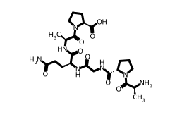 C[C@H](N)C(=O)N1CCC[C@H]1C(=O)NCC(=O)N[C@@H](CCC(N)=O)C(=O)N[C@@H](C)C(=O)N1CCC[C@H]1C(=O)O